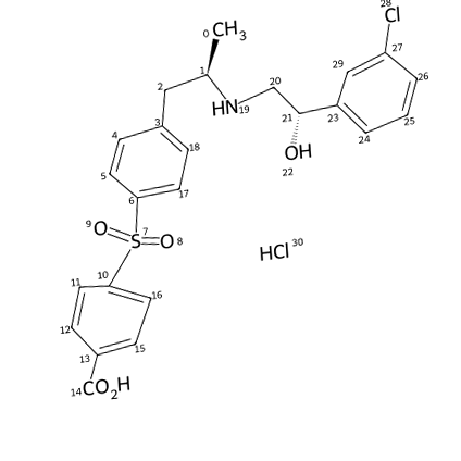 C[C@H](Cc1ccc(S(=O)(=O)c2ccc(C(=O)O)cc2)cc1)NC[C@@H](O)c1cccc(Cl)c1.Cl